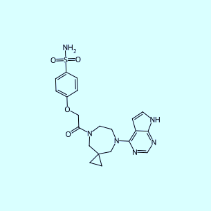 NS(=O)(=O)c1ccc(OCC(=O)N2CCN(c3ncnc4[nH]ccc34)CC3(CC3)C2)cc1